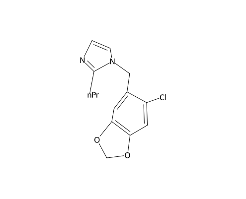 CCCc1nccn1Cc1cc2c(cc1Cl)OCO2